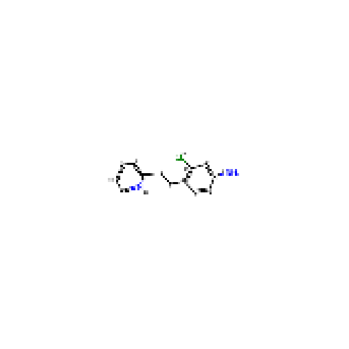 Nc1ccc(CCc2ccccn2)c(Cl)c1